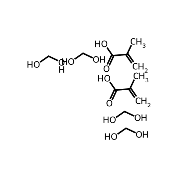 C=C(C)C(=O)O.C=C(C)C(=O)O.OCO.OCO.OCO.OCO